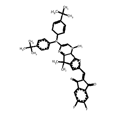 CN1C=C(N(c2ccc(C(C)(C)C)cc2)C2C=CC(C(C)(C)C)=CC2)N=C2C1c1sc(C=C3C(=O)c4cc(F)c(F)cc4C3=O)cc1C2(C)C